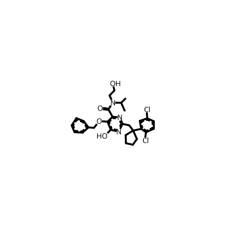 CC(C)N(CCO)C(=O)c1nc(CC2(c3cc(Cl)ccc3Cl)CCCC2)nc(O)c1OCc1ccccc1